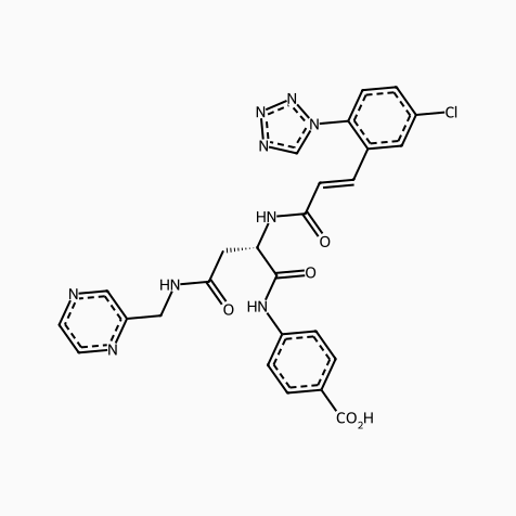 O=C(/C=C/c1cc(Cl)ccc1-n1cnnn1)N[C@@H](CC(=O)NCc1cnccn1)C(=O)Nc1ccc(C(=O)O)cc1